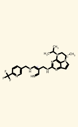 CC(C)N1C[C@H](C)n2ccc3nc(NC/C(C=N)=C/NCc4ccc(C(F)(F)F)nc4)nc1c32